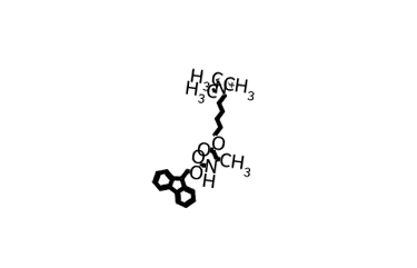 CC(NC(=O)OCC1c2ccccc2-c2ccccc21)C(=O)OCCCCCC[N+](C)(C)C